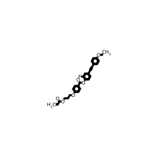 C=CC(=O)OCCCOc1ccc(C(=O)Oc2ccc(C#Cc3ccc(OCC)cc3)cc2F)cc1